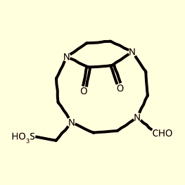 O=CN1CCN(CS(=O)(=O)O)CCN2CCN(CC1)C(=O)C2=O